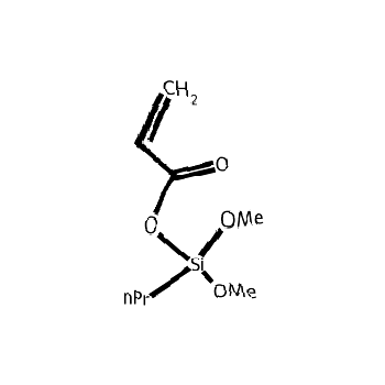 C=CC(=O)O[Si](CCC)(OC)OC